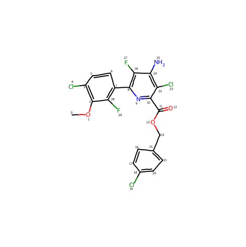 COc1c(Cl)ccc(-c2nc(C(=O)OCc3ccc(Cl)cc3)c(Cl)c(N)c2F)c1F